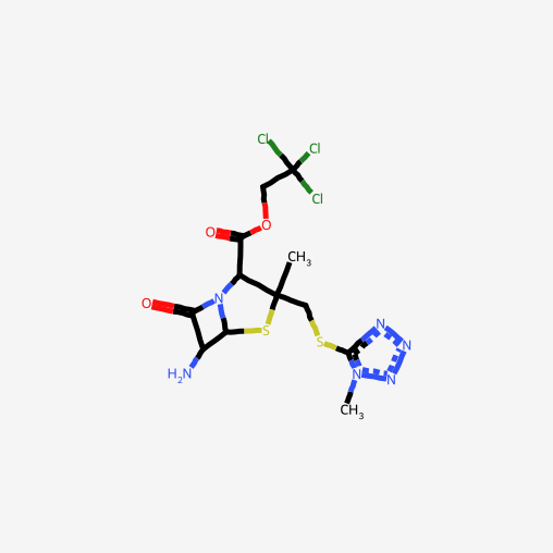 Cn1nnnc1SCC1(C)SC2C(N)C(=O)N2C1C(=O)OCC(Cl)(Cl)Cl